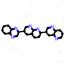 c1cnc2cc(-c3ccc4cc(-c5cnc6ccccc6n5)cnc4n3)cnc2c1